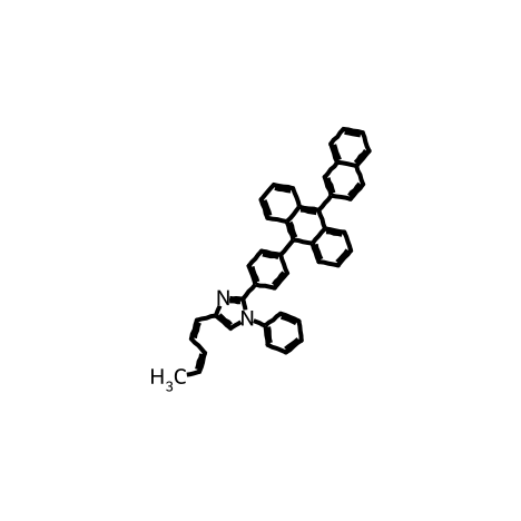 C/C=C\C=C/c1cn(-c2ccccc2)c(-c2ccc(-c3c4ccccc4c(-c4ccc5ccccc5c4)c4ccccc34)cc2)n1